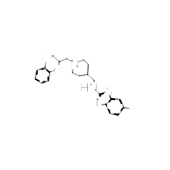 Fc1ccc2nc(NCC3CCN(CC4COc5ccccc5O4)CC3)sc2c1